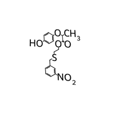 CC(Oc1ccc(O)cc1)C(=O)OCCSCc1cccc([N+](=O)[O-])c1